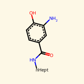 CCCCCCCNC(=O)c1ccc(O)c(N)c1